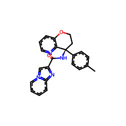 Cc1ccc([C@@]2(NC(=O)c3cn4ccccc4n3)CCOc3cccnc32)cc1